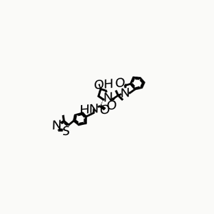 Cc1ncsc1-c1ccc(CNC(=O)[C@@H]2C[C@@H](O)CN2C(=O)C(C)(C)N2Cc3ccccc3C2=O)cc1